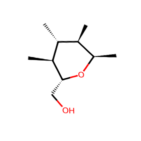 C[C@@H]1[C@@H](C)[C@@H](C)O[C@H](CO)[C@H]1C